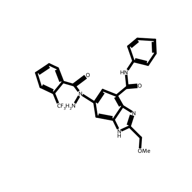 COCc1nc2c(C(=O)Nc3ccccc3)cc(N(N)C(=O)c3ccccc3C(F)(F)F)cc2[nH]1